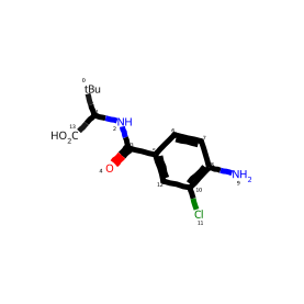 CC(C)(C)C(NC(=O)c1ccc(N)c(Cl)c1)C(=O)O